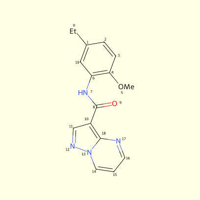 CCc1ccc(OC)c(NC(=O)c2cnn3cccnc23)c1